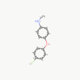 CC(C)Nc1ccc(Oc2ccc(F)cc2)cc1